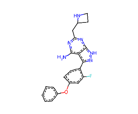 Nc1nc(CC2CCN2)nc2[nH]nc(-c3ccc(Oc4ccccc4)cc3F)c12